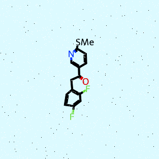 CSc1ccc(C(=O)Cc2ccc(F)cc2F)cn1